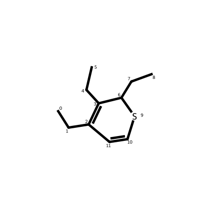 CCC1=C(CC)C(CC)SC=C1